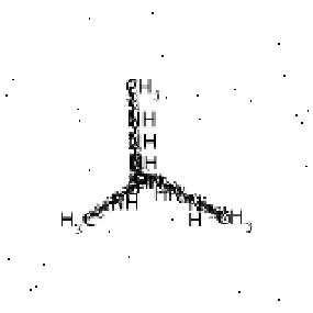 CCCCCCNCCCNCCCNCc1cc(CNCCCNCCCNCCCCCC)cc(OCCCNCCCCCC)c1